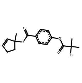 CCC(C)(C)C(=O)Oc1ccc(C(=O)OC2(C)C=CCC2)cc1